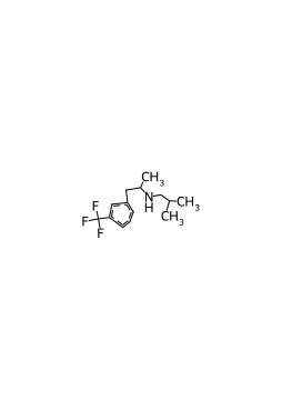 CC(C)CNC(C)Cc1cccc(C(F)(F)F)c1